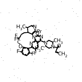 C=CC(=O)N1C[C@H](C)N(c2nc(=O)n3c4nc(c(F)cc24)-c2c(F)ccc(F)c2OCC(F)(F)CCC2C3=C(C(C)C)N=CC2C)C[C@H]1C